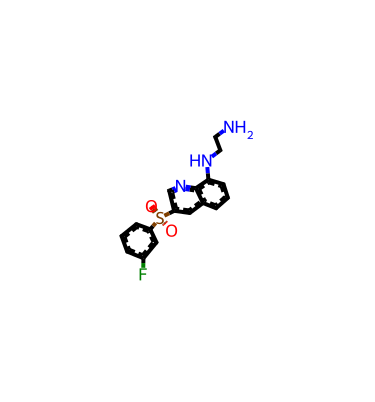 NCCNc1cccc2cc(S(=O)(=O)c3cccc(F)c3)cnc12